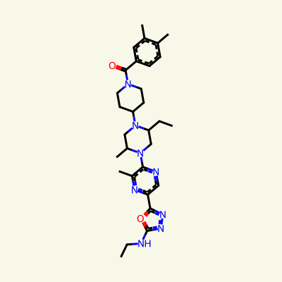 CCNc1nnc(-c2cnc(N3CC(CC)N(C4CCN(C(=O)c5ccc(C)c(C)c5)CC4)CC3C)c(C)n2)o1